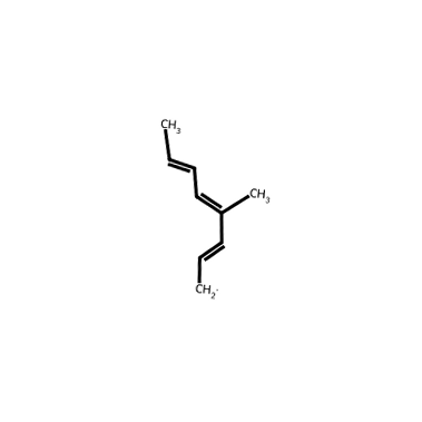 [CH2]C=CC(C)=CC=CC